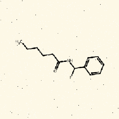 [CH2]CCCCC(=O)NC(F)c1ccccc1